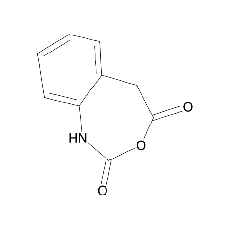 O=C1Cc2ccccc2NC(=O)O1